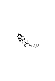 CCOC(=O)CNC(=O)/C=C/S(=O)(=O)c1ccccc1